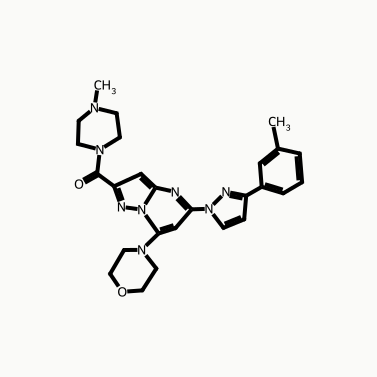 Cc1cccc(-c2ccn(-c3cc(N4CCOCC4)n4nc(C(=O)N5CCN(C)CC5)cc4n3)n2)c1